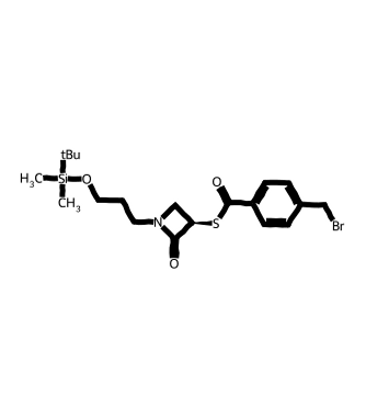 CC(C)(C)[Si](C)(C)OCCCN1C[C@@H](SC(=O)c2ccc(CBr)cc2)C1=O